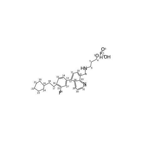 O=[PH](O)OCCCNCc1ccc(-c2ccc(CCC3CCCCC3)c(F)c2)c2cccnc12